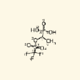 CC(OS(=O)(=O)C(F)(F)F)P(=O)(O)O